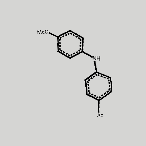 COc1ccc(Nc2ccc(C(C)=O)cc2)cc1